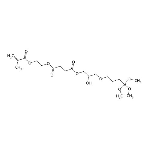 C=C(C)C(=O)OCCOC(=O)CCC(=O)OCC(O)COCCC[Si](OC)(OC)OC